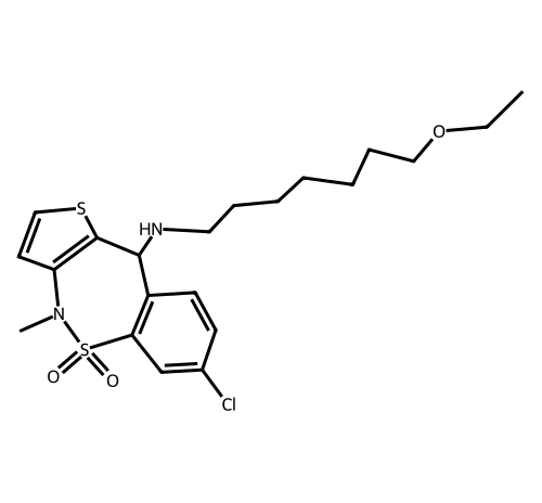 CCOCCCCCCCNC1c2ccc(Cl)cc2S(=O)(=O)N(C)c2ccsc21